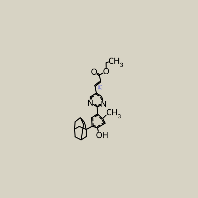 CCOC(=O)/C=C/c1cnc(-c2cc(C34CC5CC(CC(C5)C3)C4)c(O)cc2C)nc1